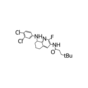 CC(C)(C)CCC(=O)Nc1cc2c(nc1F)C(Nc1ccc(Cl)c(Cl)c1)CCC2